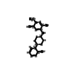 Cn1cc(Br)c(OC2CCC(n3ncccc3=O)CC2)cc1=O